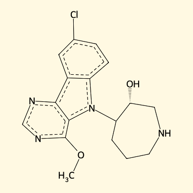 COc1ncnc2c3cc(Cl)ccc3n(C3CCCNC[C@H]3O)c12